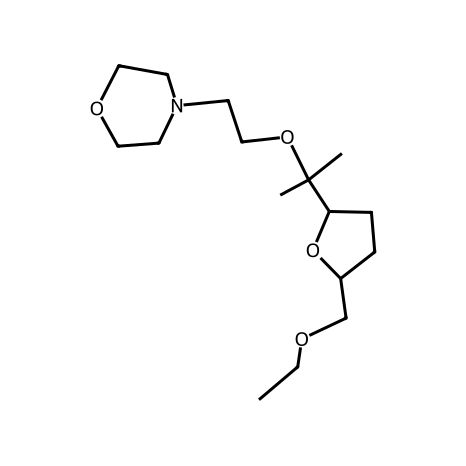 CCOCC1CCC(C(C)(C)OCCN2CCOCC2)O1